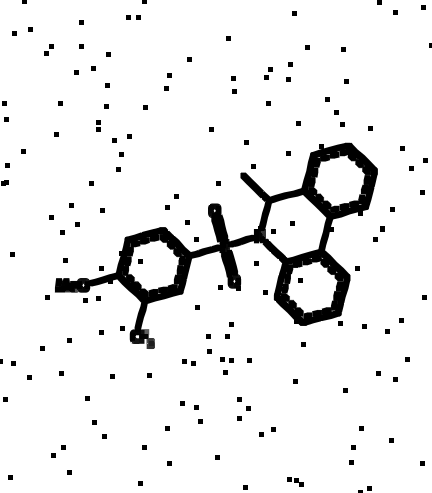 COc1ccc(S(=O)(=O)N2c3ccccc3-c3ccccc3C2C)cc1C(F)(F)F